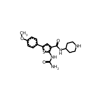 COc1ccc(-c2cc(C(=O)NC3CCNCC3)c(NC(N)=O)s2)cc1